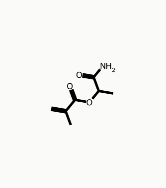 C=C(C)C(=O)OC(C)C(N)=O